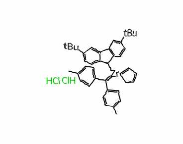 Cc1ccc([C](c2ccc(C)cc2)=[Zr]([C]2=CC=CC2)[CH]2c3ccc(C(C)(C)C)cc3-c3cc(C(C)(C)C)ccc32)cc1.Cl.Cl